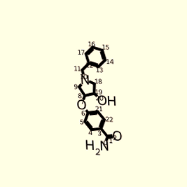 NC(=O)c1ccc(OC2CN(Cc3ccccc3)CC2O)cc1